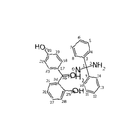 NC(N)(c1ccccc1)c1ccccc1.O=C(c1ccc(O)cc1)c1ccccc1O